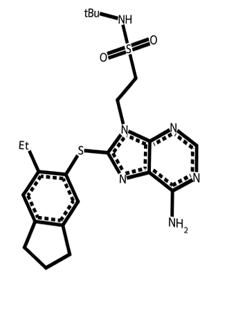 CCc1cc2c(cc1Sc1nc3c(N)ncnc3n1CCS(=O)(=O)NC(C)(C)C)CCC2